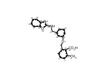 Cc1cccc(COc2cccc(CNc3nc4ccccc4o3)c2)c1C(=O)O